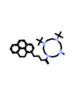 C=C(CCCc1ccc2ccc3cccc4c3c2c1CC4)N1CCN(C)CCN(C(C)(C)C)CCN(C(C)(C)C)CC1